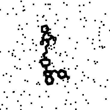 O=C1CC2(CCCC2)CC(=O)N1CCCCN1CCN(c2nc3ccccc3n2Cc2ccc(F)cc2)CC1